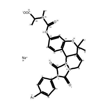 CC(=O)c1ccc(-n2c(=O)n3n(c2=O)C2C(=CC3)C(C)(C)Oc3cc(OC(=O)N(C)C(C)C(=O)[O-])ccc32)cc1.[Na+]